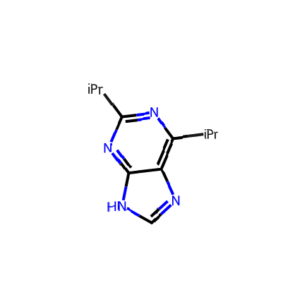 CC(C)c1nc(C(C)C)c2nc[nH]c2n1